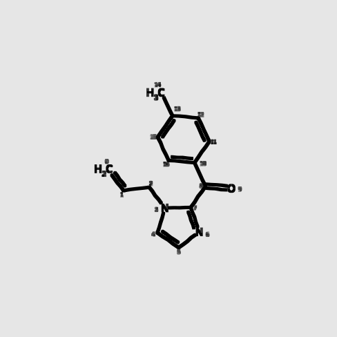 C=CCn1ccnc1C(=O)c1ccc(C)cc1